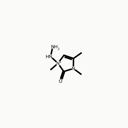 CC1=C[N+](C)(NN)C(=O)N1C